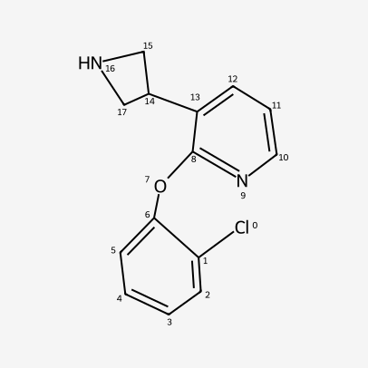 Clc1ccccc1Oc1ncccc1C1CNC1